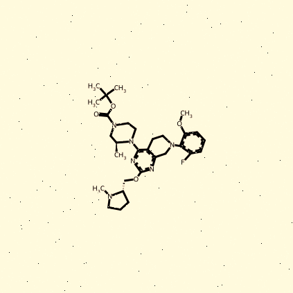 COc1cccc(F)c1N1CCc2c(nc(OC[C@@H]3CCCN3C)nc2N2CCN(C(=O)OC(C)(C)C)C[C@@H]2C)C1